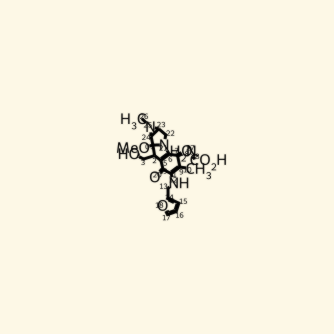 COC12C(CO)C3=C(C(=O)C(C)=C(NCc4ccco4)C3=O)N1CC1C2N1C.NC(=O)O